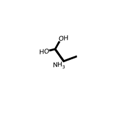 CCC(O)O.N